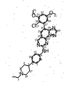 CCN1CCC(c2ccc(Nc3ncc4cc(-c5cc(OC)cc(OC)c5Cl)c5ncnn5c4n3)cc2)CC1